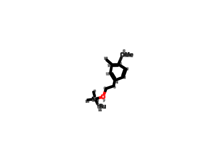 COc1ccc(CCO[Si](C)(C)C(C)(C)C)cc1C